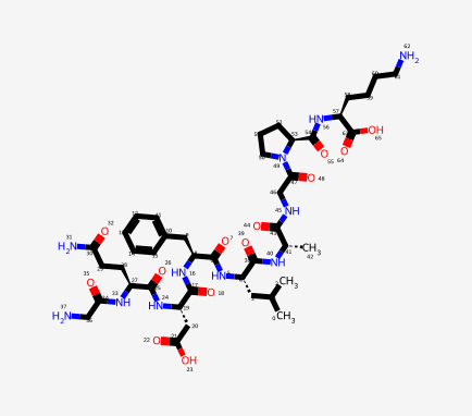 CC(C)C[C@H](NC(=O)[C@H](Cc1ccccc1)NC(=O)[C@H](CC(=O)O)NC(=O)[C@H](CCC(N)=O)NC(=O)CN)C(=O)N[C@@H](C)C(=O)NCC(=O)N1CCC[C@H]1C(=O)N[C@@H](CCCCN)C(=O)O